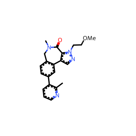 COCCn1ncc2c1C(=O)N(C)Cc1ccc(-c3cccnc3C)cc1-2